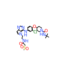 CC(C)(C)NC(=O)N1CCC(Oc2ccc(Nc3ncnc4ccn(CCNC(=O)CS(C)(=O)=O)c34)cc2Cl)CC1